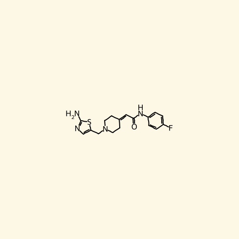 Nc1ncc(CN2CCC(=CC(=O)Nc3ccc(F)cc3)CC2)s1